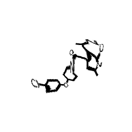 Cc1cc(C(=O)N2CCC(Oc3ccc(Cl)cc3)CC2)c2c(C)noc2n1